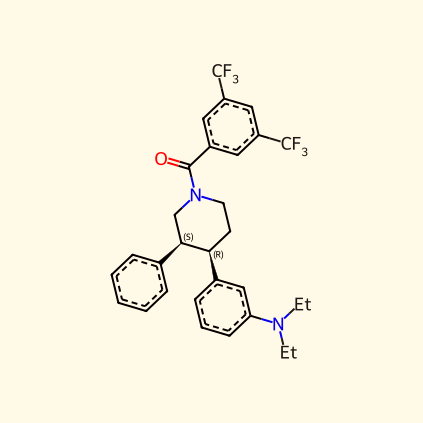 CCN(CC)c1cccc([C@@H]2CCN(C(=O)c3cc(C(F)(F)F)cc(C(F)(F)F)c3)C[C@@H]2c2ccccc2)c1